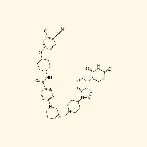 N#Cc1ccc(OC2CCC(NC(=O)c3ccc(N4CCC[C@@H](CN5CCC(n6ncc7c(N8CCC(=O)NC8=O)cccc76)CC5)C4)nn3)CC2)cc1Cl